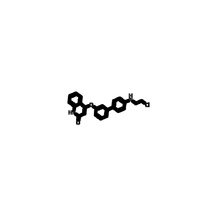 O=c1cc(Oc2cccc(-c3ccc(NCCCl)cc3)c2)c2ccccc2[nH]1